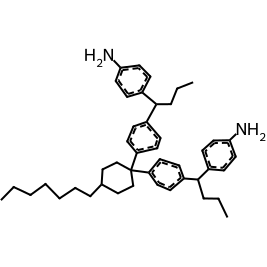 CCCCCCCC1CCC(c2ccc(C(CCC)c3ccc(N)cc3)cc2)(c2ccc(C(CCC)c3ccc(N)cc3)cc2)CC1